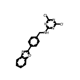 Clc1nc(Cl)nc(NCc2ccc(-c3nc4ccccc4o3)cc2)n1